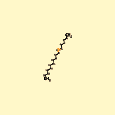 CCCCC=C[P]CCCCCCCCCCC